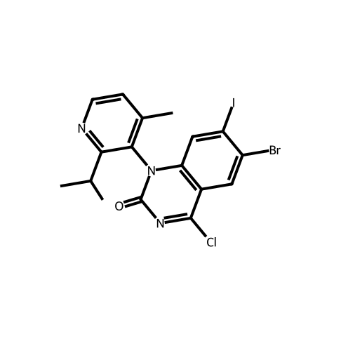 Cc1ccnc(C(C)C)c1-n1c(=O)nc(Cl)c2cc(Br)c(I)cc21